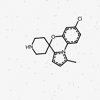 Cc1ccc2n1-c1ccc(Cl)cc1OC21CCNCC1